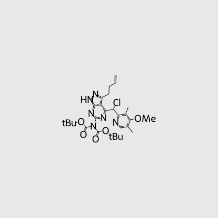 C=CCCc1n[nH]c2nc(N(C(=O)OC(C)(C)C)C(=O)OC(C)(C)C)nc(C(Cl)c3ncc(C)c(OC)c3C)c12